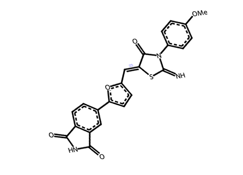 COc1ccc(N2C(=N)S/C(=C\c3ccc(-c4ccc5c(c4)C(=O)NC5=O)o3)C2=O)cc1